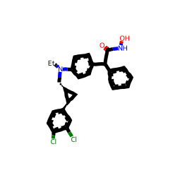 CCN(C[C@@H]1C[C@H]1c1ccc(Cl)c(Cl)c1)c1ccc(C(C(=O)NO)c2ccccc2)cc1